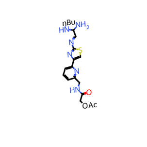 CCCCNC(N)C=Nc1nc(-c2cccc(CNC(=O)COC(C)=O)n2)cs1